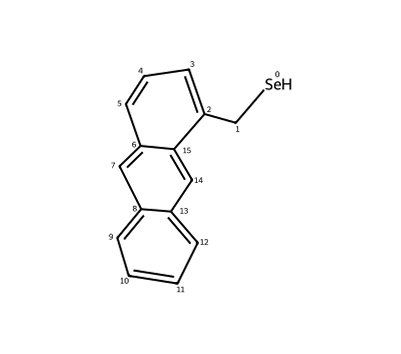 [SeH]Cc1cccc2cc3ccccc3cc12